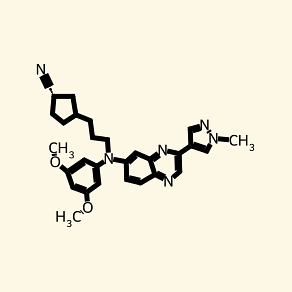 COc1cc(OC)cc(N(CCCC2CC[C@H](C#N)C2)c2ccc3ncc(-c4cnn(C)c4)nc3c2)c1